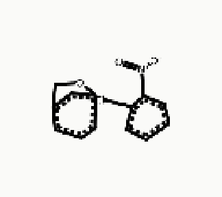 O=[N+]([O-])c1ccccc1Cl.c1cc2cc(c1)OC2